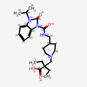 CCC(CC)(CN1CCC(CNC(=O)n2c(=O)n(C(C)C)c3ccccc32)CC1)C(=O)O